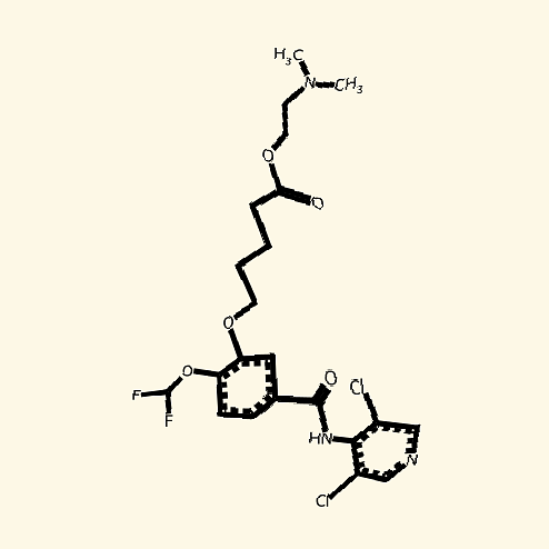 CN(C)CCOC(=O)CCCCOc1cc(C(=O)Nc2c(Cl)cncc2Cl)ccc1OC(F)F